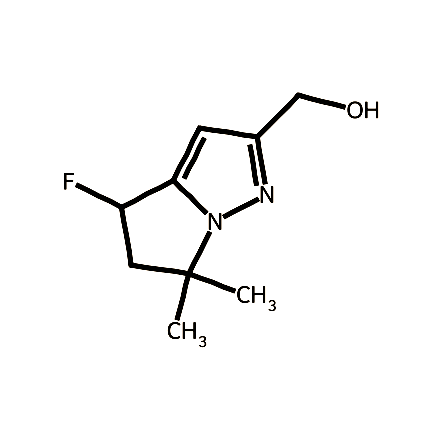 CC1(C)CC(F)c2cc(CO)nn21